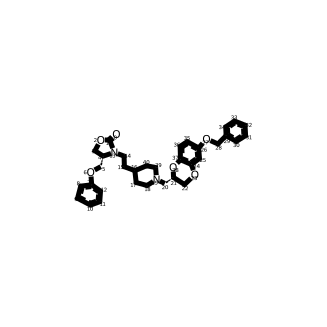 O=C1OC[C@@H](COc2ccccc2)N1CCC1CCN(C[C@H]2COc3cc(OCc4ccccc4)ccc3O2)CC1